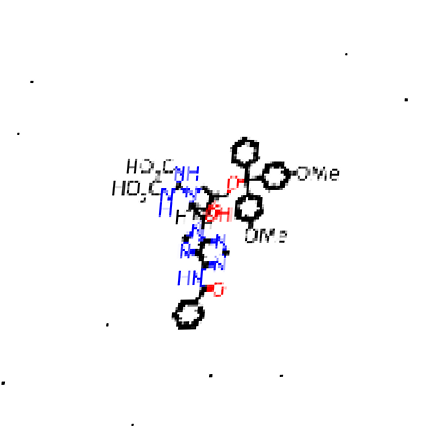 COc1ccc(C(OC[C@@]23CN(C(NC(=O)O)NC(=O)O)[C@@H]([C@H](n4cnc5c(NC(=O)c6ccccc6)ncnc54)O2)[C@@H]3O)(c2ccccc2)c2ccc(OC)cc2)cc1